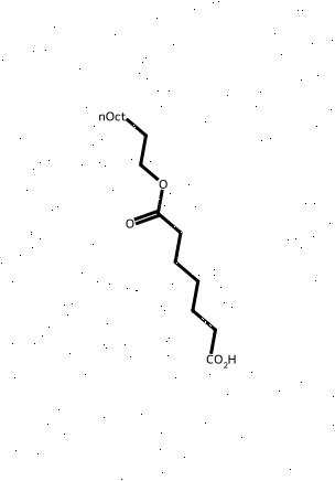 CCCCCCCCCCOC(=O)CCCCCC(=O)O